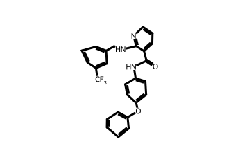 O=C(Nc1ccc(Oc2ccccc2)cc1)c1cccnc1NCc1cccc(C(F)(F)F)c1